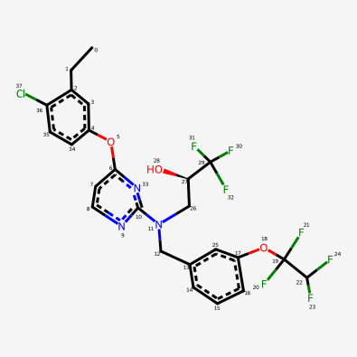 CCc1cc(Oc2ccnc(N(Cc3cccc(OC(F)(F)C(F)F)c3)C[C@@H](O)C(F)(F)F)n2)ccc1Cl